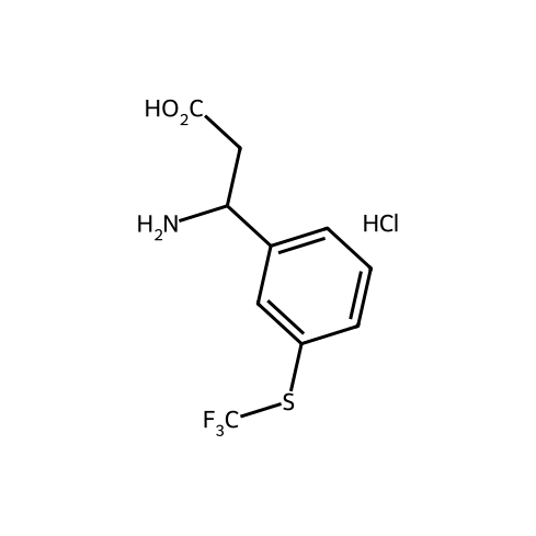 Cl.NC(CC(=O)O)c1cccc(SC(F)(F)F)c1